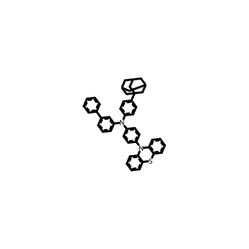 c1ccc(-c2cccc(N(c3ccc(N4c5ccccc5Sc5ccccc54)cc3)c3ccc(C45CC6CC(CC(C6)C4)C5)cc3)c2)cc1